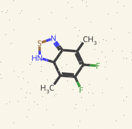 CC1=C(F)C(F)=C(C)C2NSN=C12